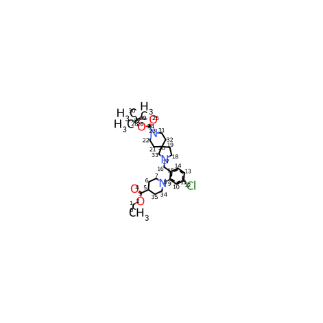 CCOC(=O)C1CCN(c2cc(Cl)ccc2CN2CCC3(CCN(C(=O)OC(C)(C)C)CC3)C2)CC1